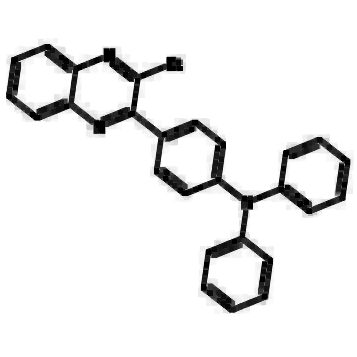 CCc1nc2ccccc2nc1-c1ccc(N(c2ccccc2)c2ccccc2)cc1